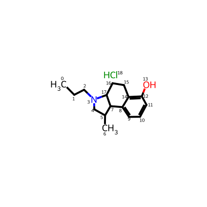 CCCN1CC(C)C2c3cccc(O)c3CCC21.Cl